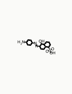 Nc1ccc(N=Nc2ccc3c(S(=O)(=O)O)cccc3c2O)cc1